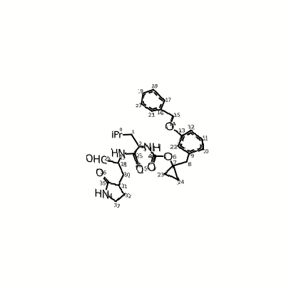 CC(C)CC(NC(=O)OC1(Cc2cccc(OCc3ccccc3)c2)CC1)C(=O)NC(C=O)CC1CCNC1=O